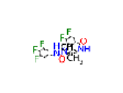 C[C@H](c1c[nH]c(=O)c2cc(F)c(F)cc12)N(C)C(=O)NCc1cc(F)c(F)c(F)c1